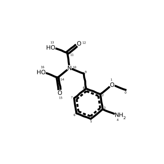 COc1c(N)cccc1CN(C(=O)O)C(=O)O